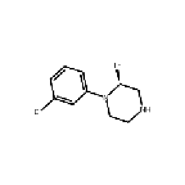 CC[C@H]1CNCCN1c1cccc(Cl)c1